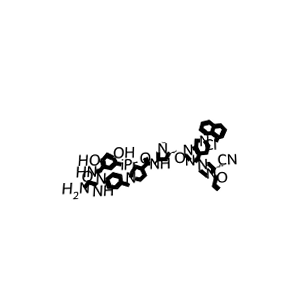 C=CC(=O)N1CCN(c2nc(OC[C@@H]3C[C@@H](NC(=O)C4CCN(Cc5ccc(N(C(=N)C(N)=O)C(=N)c6cc(C(C)C)c(O)cc6O)cc5)CC4)CN3C)nc3c2CCN(c2cccc4cccc(Cl)c24)C3)C[C@@H]1CC#N